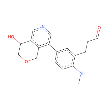 CNc1ccc(-c2cncc3c2COCC3O)cc1CCC=O